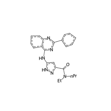 CCCN(CC)C(=O)c1cc(Nc2nc(-c3ccccc3)nc3ccccc23)[nH]n1